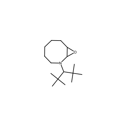 CC(C)(C)C(N1CCCCCC2OC21)C(C)(C)C